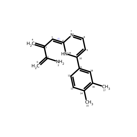 C=C(N)C(=C)/C=C1/N=CC=C(c2ccc(C)c(C)c2)N1